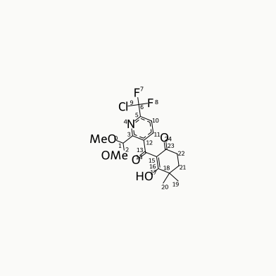 COC(OC)c1nc(C(F)(F)Cl)ccc1C(=O)C1=C(O)C(C)(C)CCC1=O